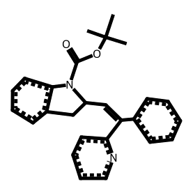 CC(C)(C)OC(=O)N1c2ccccc2CC1C=C(c1ccccc1)c1ccccn1